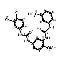 COc1ccc(NC(=O)Nc2ccc(Cl)c(Cl)c2)cc1NC(=S)Nc1cccc(C(=O)O)c1